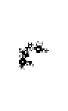 [C-]#[N+]c1ccc(OC2C(=O)N(Cc3nnc(-c4ccc(O)cc4O)o3)CC2(C)C)cc1C(F)(F)F